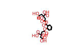 O=C(O)CC(O)(CC(=O)OC(=O)c1ccccc1OC(=O)CC(O)(CC(=O)O)C(=O)O)C(=O)O